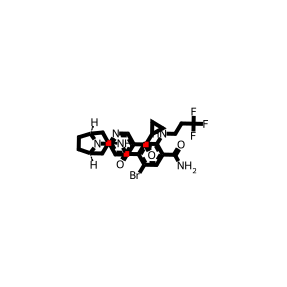 NC(=O)c1cc(Br)c(C(=O)N[C@H]2C[C@H]3CC[C@@H](C2)N3c2ccc(C(=O)C3CC3)cn2)cc1NCCC(F)(F)F